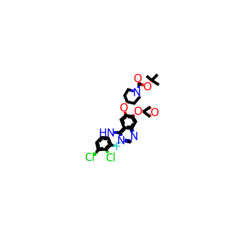 CC(C)(C)OC(=O)N1CCC(Oc2cc3c(Nc4ccc(Cl)c(Cl)c4F)ncnc3cc2OC2COC2)CC1